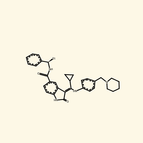 CC[C@@H](NC(=O)c1ccc2c(c1)/C(=C(/Nc1ccc(CN3CCCCC3)cc1)C1CC1)C(=O)N2)c1ccccc1